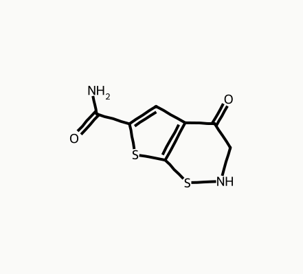 NC(=O)c1cc2c(s1)SNCC2=O